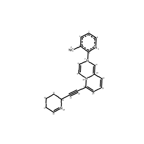 N#Cc1cccnc1N1C=CN2C(C#CC3CCCC=N3)=CC=CC2=C1